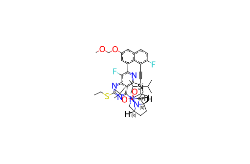 CCSc1nc2c3c(nc(-c4cc(OCOC)cc5ccc(F)c(C#C[Si](C(C)C)(C(C)C)C(C)C)c45)c(F)c3n1)CC[C@@H]1[C@@H]3CC[C@H](CN21)N3C(=O)OC(C)(C)C